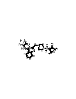 Cc1nn(C)c(Cl)c1S(=O)(=O)N1CCN(Cc2nc(N[C@H](C(N)=O)C(C)C)c3ccccc3n2)CC1